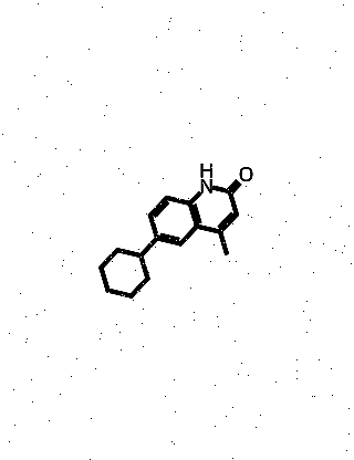 Cc1cc(=O)[nH]c2ccc(C3CCCCC3)cc12